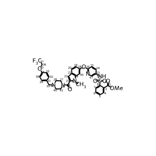 COC(=O)c1ccccc1S(=O)(=O)Nc1ccc(Oc2ccc3cc(C(=O)N4CCN(Cc5ccc(OCC(F)(F)F)cc5)CC4)n(C)c3c2)nc1